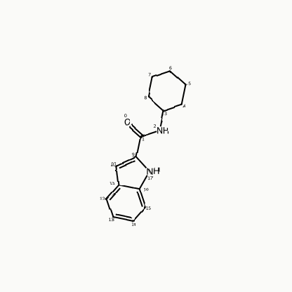 O=C(NC1CCCCC1)c1cc2ccccc2[nH]1